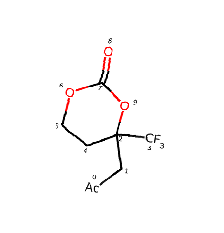 CC(=O)CC1(C(F)(F)F)CCOC(=O)O1